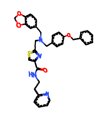 O=C(NCCc1ccccn1)c1csc(CN(Cc2ccc(OCc3ccccc3)cc2)Cc2ccc3c(c2)OCO3)n1